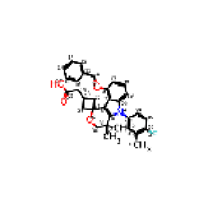 Cc1cc(-n2c3c(c4c(OCc5ccccc5)cccc42)C2(CC(CC(=O)O)C2)OCC3(C)C)ccc1F